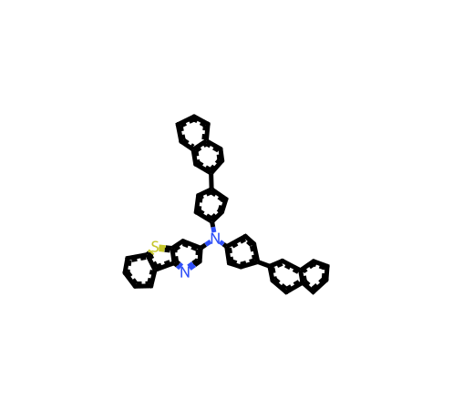 c1ccc2cc(-c3ccc(N(c4ccc(-c5ccc6ccccc6c5)cc4)c4cnc5c(c4)sc4ccccc45)cc3)ccc2c1